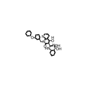 O=c1c(C2=NS(O)(O)c3ccccc3N2)c(O)c2cccnc2n1Cc1cccc(Oc2ccccc2)c1